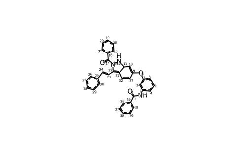 O=C(Nc1cccc(OC2=CC3NN(C(=O)c4ccccc4)C(C=Cc4ccccc4)=C3C=C2)c1)c1ccccc1